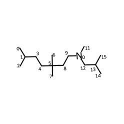 CC(C)CCC(C)(C)CCN(C)CC(C)C